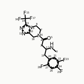 CNC(CC(=O)N1CCn2c(nnc2C(F)(F)F)C1)Cc1cc(F)c(F)cc1F